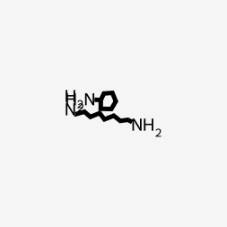 NC1CCCCC1.NCCCCCCCCN